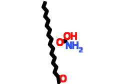 CCCCCCCCCCCCCCCCC1CO1.NC(=O)O